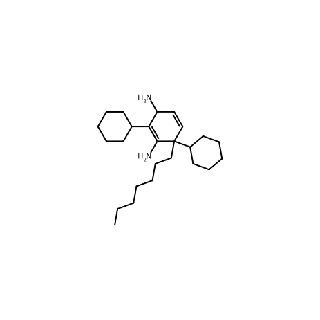 CCCCCCCC1(C2CCCCC2)C=CC(N)C(C2CCCCC2)=C1N